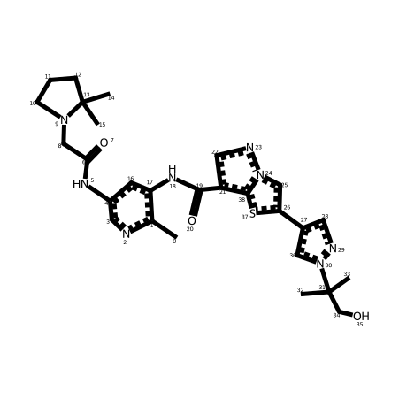 Cc1ncc(NC(=O)CN2CCCC2(C)C)cc1NC(=O)c1cnn2cc(-c3cnn(C(C)(C)CO)c3)sc12